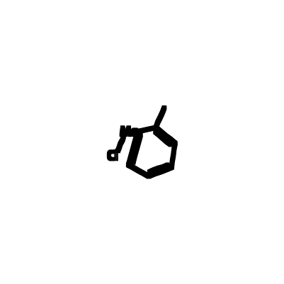 Cc1ccccc1.[Cl][Mo]